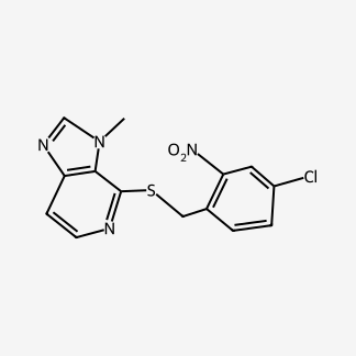 Cn1cnc2ccnc(SCc3ccc(Cl)cc3[N+](=O)[O-])c21